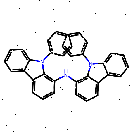 c1ccc(-n2c3ccccc3c3cccc(Nc4cccc5c6ccccc6n(-c6ccccc6)c45)c32)cc1